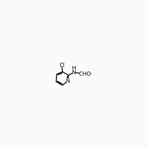 O=[C]Nc1ncccc1Cl